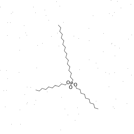 CCCCCCCCCCCCCCCCCCP(=O)(OCCCCCCCCCC)OCCCCCCCCCC